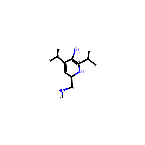 CNCC1C=C(C(C)C)C(N)=C(C(C)C)N1